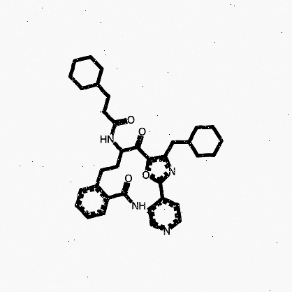 NC(=O)c1ccccc1CCC(NC(=O)[CH]CC1CCCCC1)C(=O)c1oc(-c2ccncc2)nc1CC1CCCCC1